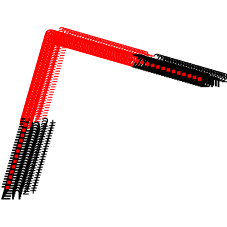 [O-2].[O-2].[O-2].[O-2].[O-2].[O-2].[O-2].[O-2].[O-2].[O-2].[O-2].[O-2].[O-2].[O-2].[O-2].[O-2].[O-2].[O-2].[O-2].[O-2].[O-2].[O-2].[O-2].[O-2].[O-2].[O-2].[O-2].[O-2].[O-2].[O-2].[O-2].[O-2].[O-2].[O-2].[O-2].[O-2].[O-2].[O-2].[O-2].[O-2].[O-2].[O-2].[O-2].[O-2].[O-2].[O-2].[O-2].[O-2].[O-2].[O-2].[O-2].[O-2].[O-2].[O-2].[O-2].[O-2].[O-2].[O-2].[O-2].[O-2].[O-2].[O-2].[O-2].[O-2].[O-2].[O-2].[Zn+2].[Zn+2].[Zn+2].[Zn+2].[Zn+2].[Zn+2].[Zn+2].[Zn+2].[Zn+2].[Zn+2].[Zn+2].[Zn+2].[Zn+2].[Zn+2].[Zn+2].[Zn+2].[Zn+2].[Zn+2].[Zn+2].[Zn+2].[Zn+2].[Zn+2].[Zn+2].[Zn+2].[Zn+2].[Zn+2].[Zn+2].[Zn+2].[Zn+2].[Zn+2].[Zn+2].[Zn+2].[Zn+2].[Zn+2].[Zn+2].[Zn+2].[Zn+2].[Zn+2].[Zn+2].[Zn+2].[Zn+2].[Zn+2].[Zn+2].[Zn+2].[Zn+2].[Zn+2].[Zn+2].[Zn+2].[Zn+2].[Zn+2].[Zn+2].[Zn+2].[Zn+2].[Zn+2]